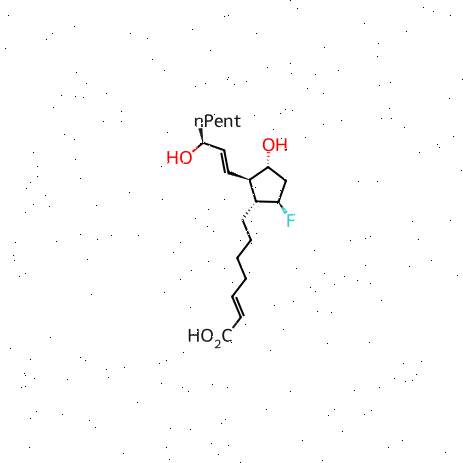 CCCCC[C@H](O)/C=C/[C@@H]1[C@@H](CCCC/C=C/C(=O)O)[C@H](F)C[C@H]1O